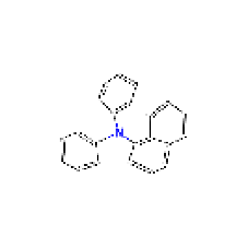 [c]1cccc2cccc(N(c3ccccc3)c3ccccc3)c12